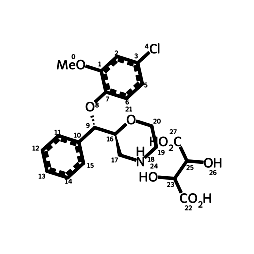 COc1cc(Cl)ccc1O[C@@H](c1ccccc1)[C@@H]1CNCCO1.O=C(O)C(O)C(O)C(=O)O